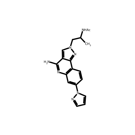 CC(=O)NC(C)Cn1cc2c(N)nc3cc(-n4cccn4)ccc3c2n1